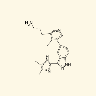 Cc1nc(-c2n[nH]c3ccc(-c4cncc(CCCN)c4C)cc23)[nH]c1C